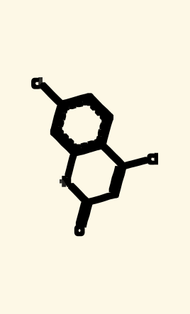 O=C1C=C(Cl)c2ccc(Cl)cc2[N]1